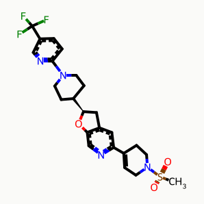 CS(=O)(=O)N1CC=C(c2cc3c(cn2)O[C@@H](C2CCN(c4ccc(C(F)(F)F)cn4)CC2)C3)CC1